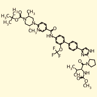 COC(=O)N[C@H](C(=O)N1CCC[C@H]1c1nc(-c2ccc(-c3ccc(NC(=O)c4ccc(N5C[C@H](C)N(C(=O)OC(C)(C)C)C[C@H]5C)nc4)cc3OC(F)(F)F)cc2)c[nH]1)C(C)C